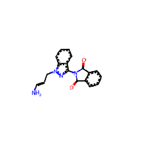 NC=CCn1nc(N2C(=O)c3ccccc3C2=O)c2ccccc21